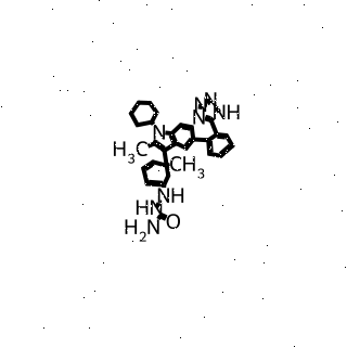 Cc1c(C2(C)C=CC=C(NNC(N)=O)C2)c2cc(-c3ccccc3-c3nnn[nH]3)ccc2n1C1CCCCC1